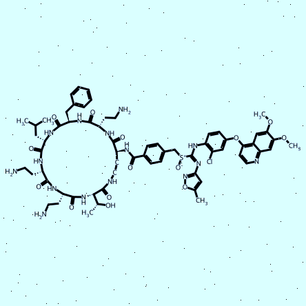 COc1cc2nccc(Oc3ccc(N/C(=N/c4cc(C)on4)[S+]([O-])Cc4ccc(C(=O)N[C@H]5CCNC(=O)[C@H]([C@@H](C)O)NC(=O)[C@H](CCN)NC(=O)[C@H](CCN)NC(=O)[C@H](CC(C)C)NC(=O)[C@@H](Cc6ccccc6)NC(=O)[C@H](CCN)NC5=O)cc4)c(Cl)c3)c2cc1OC